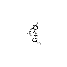 N[SH](=O)=O.Nc1cccc(S(=O)(=O)NC(=O)c2ccc(Cl)nc2Cl)n1